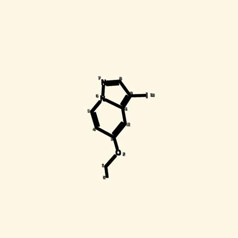 CCOc1ccn2ncc(I)c2c1